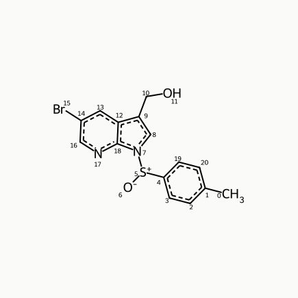 Cc1ccc([S+]([O-])n2cc(CO)c3cc(Br)cnc32)cc1